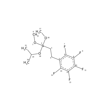 CO[Si](CCc1c(F)c(F)c(F)c(F)c1F)(OC)OC(C)C